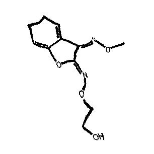 CO/N=C1/C2=CCCC=C2O/C1=N\OCCO